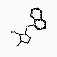 NC1CCC(Oc2cccc3ccccc23)C1O